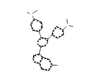 CN(C)c1ccc(-c2nc(-c3c[nH]c4ccc([N+](=O)[O-])cc34)[nH]c2-c2ccc(N(C)C)cc2)cc1